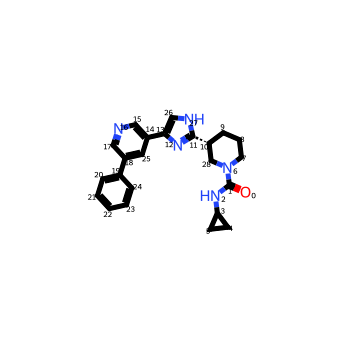 O=C(NC1CC1)N1CCC[C@@H](c2nc(-c3cncc(-c4ccccc4)c3)c[nH]2)C1